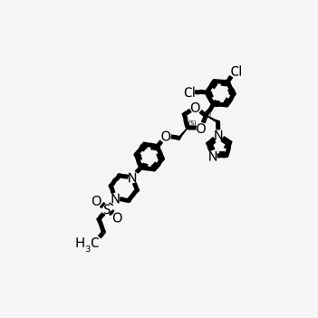 CCCS(=O)(=O)N1CCN(c2ccc(OC[C@H]3CO[C@](Cn4ccnc4)(c4ccc(Cl)cc4Cl)O3)cc2)CC1